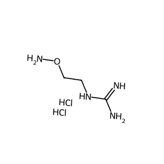 Cl.Cl.N=C(N)NCCON